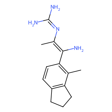 C/C(N=C(N)N)=C(/N)c1ccc2c(c1C)CCC2